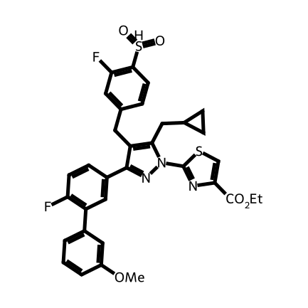 CCOC(=O)c1csc(-n2nc(-c3ccc(F)c(-c4cccc(OC)c4)c3)c(Cc3ccc([SH](=O)=O)c(F)c3)c2CC2CC2)n1